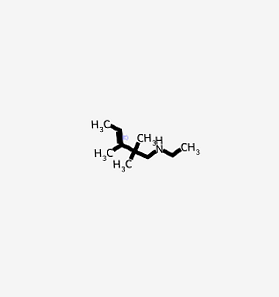 C/C=C(\C)C(C)(C)CNCC